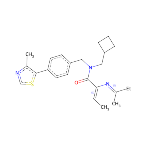 C/C=C(\N=C(/C)CC)C(=O)N(Cc1ccc(-c2scnc2C)cc1)CC1CCC1